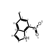 Cc1cc([N+](=O)[O-])c2[nH][c]cc2c1